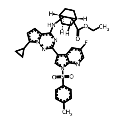 CCOC(=O)[C@H]1[C@H]2CC[C@H](CC2)[C@@H]1Nc1nc(-c2cn(S(=O)(=O)c3ccc(C)cc3)c3ncc(F)cc23)nn2c(C3CC3)ccc12